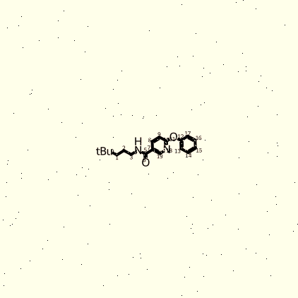 CC(C)(C)CCCNC(=O)c1ccc(Oc2ccccc2)nc1